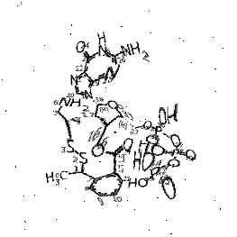 CC(SSCCN)c1ccccc1C(=O)OC1C[C@H](n2cnc3c(=O)[nH]c(N)nc32)O[C@@H]1COP(=O)(O)OP(=O)(O)OP(=O)(O)O